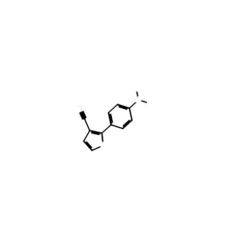 N#Cc1ccsc1-c1ccc(B(O)O)cc1